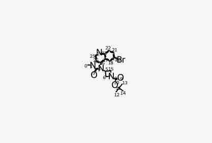 Cn1c(=O)n(C2CN(C(=O)OC(C)(C)C)C2)c2c3cc(Br)ccc3ncc21